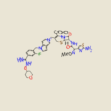 CO/N=C(\C(=O)N[C@@H]1C(=O)N2C(C(=O)[O-])=C(C[n+]3ccc4c(ccn4Cc4ccc(C(=N)NOC5CCOCC5)cc4F)c3)CS[C@H]12)c1csc(N)n1